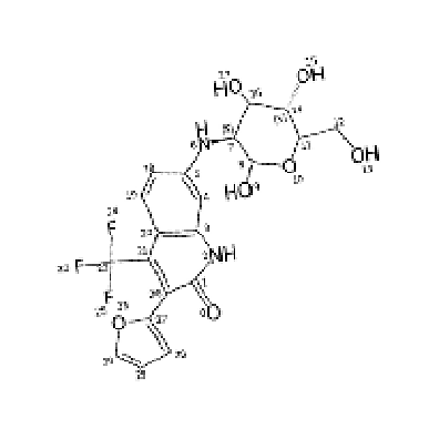 O=c1[nH]c2cc(N[C@@H]3C(O)OC(CO)[C@@H](O)C3O)ccc2c(C(F)(F)F)c1-c1ccco1